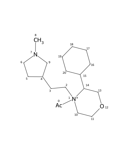 [CH2]C(=O)[N+]1(CCC2CCN(C)C2)CCOCC1C1CCCCC1